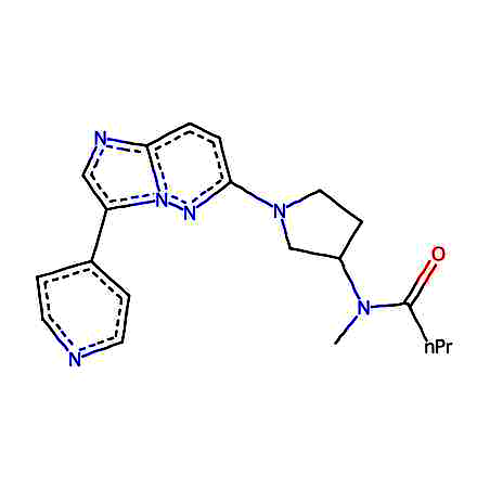 CCCC(=O)N(C)C1CCN(c2ccc3ncc(-c4ccncc4)n3n2)C1